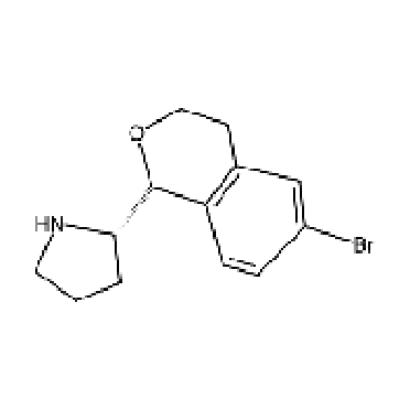 Brc1ccc2c(c1)CCOC2[C@@H]1CCCN1